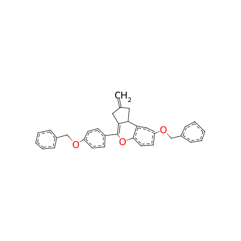 C=C1CC2=C(c3ccc(OCc4ccccc4)cc3)Oc3ccc(OCc4ccccc4)cc3C2C1